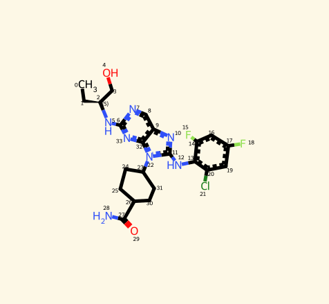 CC[C@@H](CO)Nc1ncc2nc(Nc3c(F)cc(F)cc3Cl)n(C3CCC(C(N)=O)CC3)c2n1